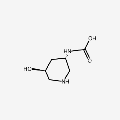 O=C(O)N[C@@H]1CNC[C@@H](O)C1